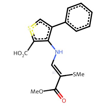 COC(=O)/C(=C/Nc1c(-c2ccccc2)csc1C(=O)O)SC